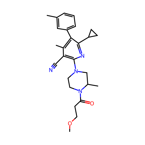 COCCC(=O)N1CCN(c2nc(C3CC3)c(-c3cccc(C)c3)c(C)c2C#N)CC1C